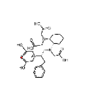 O=C(O)CN(CC(=O)O)[C@H]1CCCC[C@@H]1N(CC(=O)O)C[C@H](Cc1ccccc1)[As](CC(=O)O)CC(=O)O